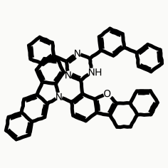 C1=CC2CCc3c(oc4c(C5=NC(c6ccccc6)=NC(c6cccc(-c7ccccc7)c6)N5)c(-n5c6ccccc6c6cc7ccccc7cc65)ccc34)C2C=C1